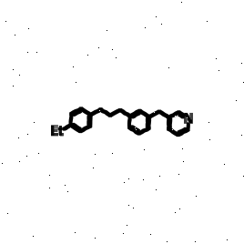 CCc1ccc(CCCc2cccc(Cc3cccnc3)c2)cc1